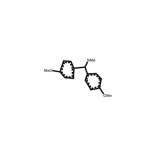 CNC(c1ccc(OC)cc1)c1ccc(OC)cc1